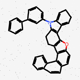 C1=c2c3c(n(-c4cccc(-c5ccccc5)c4)c2=CCC1)CCc1c-3oc2ccc3ccc4ccccc4c3c12